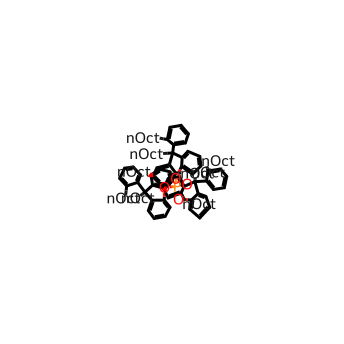 CCCCCCCCc1ccccc1C(CCCCCCCC)(c1ccccc1CCCCCCCC)c1ccccc1OP(=O)(Oc1ccccc1C(CCCCCCCC)(c1ccccc1CCCCCCCC)c1ccccc1CCCCCCCC)Oc1ccccc1C(CCCCCCCC)(c1ccccc1CCCCCCCC)c1ccccc1CCCCCCCC